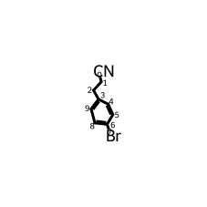 N#CCCc1ccc(Br)cc1